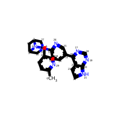 Cc1ccc(CN2C3CC2CN(c2ccc(-c4ncnc5[nH]ccc45)cn2)C3)cn1